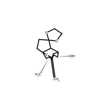 C=C1C[C@@H](O)C2CCCC3(CCC4(OCCO4)C23)C[C@@H]1C